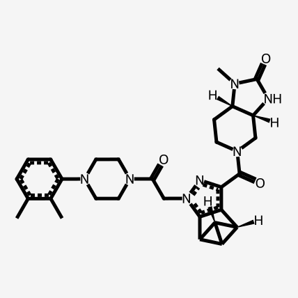 Cc1cccc(N2CCN(C(=O)Cn3nc(C(=O)N4CC[C@H]5[C@@H](C4)NC(=O)N5C)c4c3C3C5[C@H]3[C@H]45)CC2)c1C